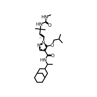 CNC(=O)NC(C)(C)/C=C/n1ncc(C(=O)NC(C)C2CC3CCCC(C3)C2)c1OCC(C)C